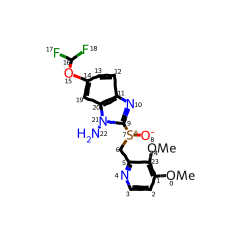 COc1ccnc(C[S+]([O-])c2nc3ccc(OC(F)F)cc3n2N)c1OC